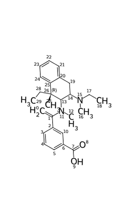 C=C(c1cccc(C(=O)O)c1)N(C)C1C(N(C)CC)Cc2ccccc2[C@@]1(C)CC